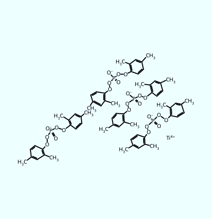 Cc1ccc(OOP(=O)([O-])OOc2ccc(C)cc2C)c(C)c1.Cc1ccc(OOP(=O)([O-])OOc2ccc(C)cc2C)c(C)c1.Cc1ccc(OOP(=O)([O-])OOc2ccc(C)cc2C)c(C)c1.Cc1ccc(OOP(=O)([O-])OOc2ccc(C)cc2C)c(C)c1.[Ti+4]